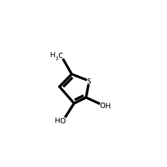 Cc1cc(O)c(O)s1